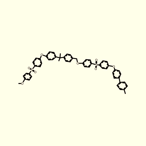 COc1ccc(S(=O)(=O)c2ccc(Oc3ccc(C(C)(C)c4ccc(COc5ccc(S(=O)(=O)c6ccc(Oc7ccc(-c8ccc(C)cc8)cc7)cc6)cc5)cc4)cc3)cc2)cc1